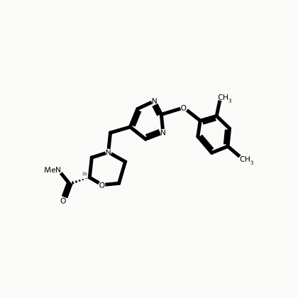 CNC(=O)[C@@H]1CN(Cc2cnc(Oc3ccc(C)cc3C)nc2)CCO1